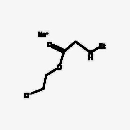 CCNCC(=O)OCC[O-].[Na+]